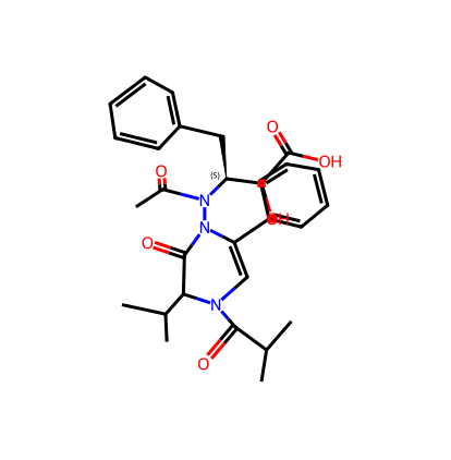 CC(=O)N([C@@H](Cc1ccccc1)C(O)C(=O)O)N1C(=O)C(C(C)C)N(C(=O)C(C)C)C=C1c1ccccc1